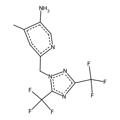 Cc1cc(Cn2nc(C(F)(F)F)nc2C(F)(F)F)ncc1N